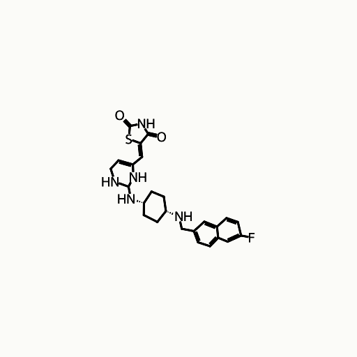 O=C1NC(=O)/C(=C/C2=CCNC(N[C@H]3CC[C@@H](NCc4ccc5cc(F)ccc5c4)CC3)N2)S1